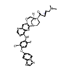 CN(C)C/C=C/C(=O)N1CCN2C[C@H]1COc1cc3ncnc(Nc4cc(Cl)c(Oc5ccn6ncnc6c5)cc4F)c3nc12